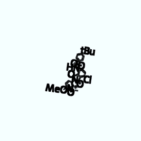 COc1ccc(N2C(=O)c3c(Cl)ccc(NS(=O)(=O)c4ccc(C(C)(C)C)cc4)c3C2=O)c(C)[n+]1[O-]